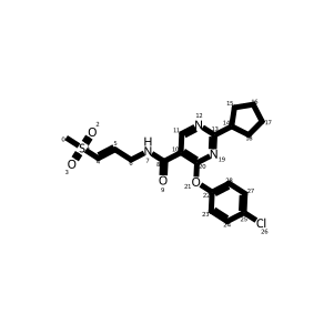 CS(=O)(=O)/C=C/CNC(=O)c1cnc(C2CCCC2)nc1Oc1ccc(Cl)cc1